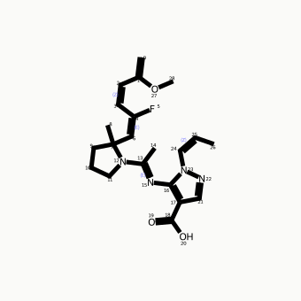 C=C(/C=C\C(F)=C/C1(C)CCCN1/C(C)=N/c1c(C(=O)O)cnn1/C=C\C)OC